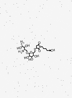 C#CCCCCN1C(=O)CC(SCC2O[C@H](OC[C@H](N)[C@H](O)[C@@H](C)O)C(O)C(O)[C@H]2O)C1=O